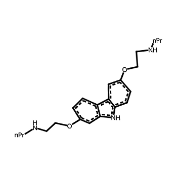 CCCNCCOc1ccc2c(c1)[nH]c1ccc(OCCNCCC)cc12